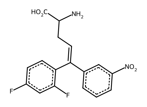 NC(C/C=C(/c1cccc([N+](=O)[O-])c1)c1ccc(F)cc1F)C(=O)O